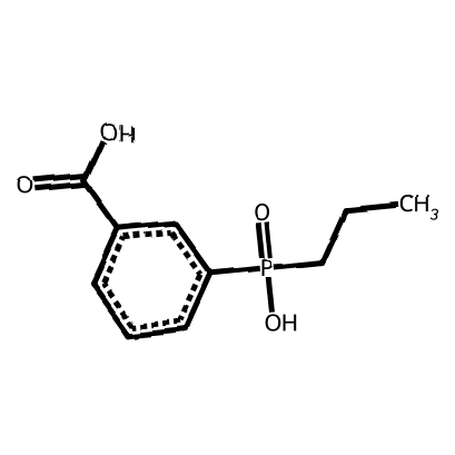 CCCP(=O)(O)c1cccc(C(=O)O)c1